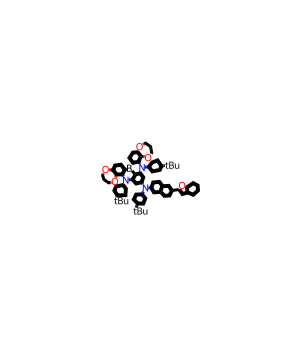 CC(C)(C)c1ccc(N(c2cc3c4c(c2)N(c2ccc(C(C)(C)C)cc2)c2c(ccc5c2OCCCO5)B4c2ccc4c(c2N3c2ccc(C(C)(C)C)cc2)OCCCO4)c2ccc3cc(-c4cc5ccccc5o4)ccc3c2)cc1